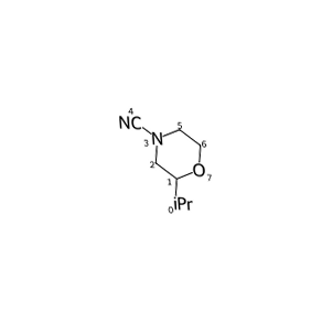 CC(C)C1CN(C#N)CCO1